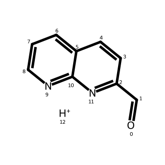 O=Cc1ccc2cccnc2n1.[H+]